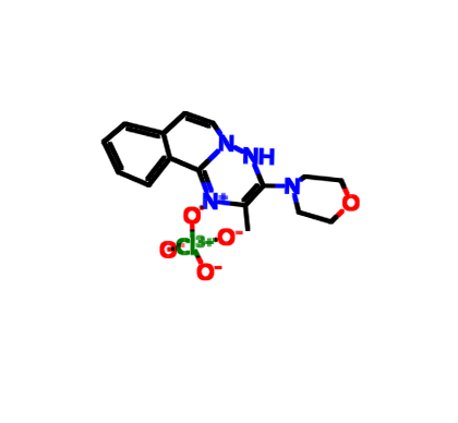 CC1=C(N2CCOCC2)NN2C=Cc3ccccc3C2=[N+]1O[Cl+3]([O-])([O-])[O-]